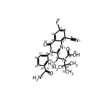 CC(c1nc2c(C#N)cc(F)cc2c(=O)n1-c1cccc(C(N)=O)c1)N(C(=O)O)C(C)(C)C